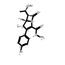 CC(=O)O[C@H](C)[C@H]1C(=O)N2C(C(=O)OP)=C(c3ccc(C(C)=O)cc3)[C@H](C)[C@H]12